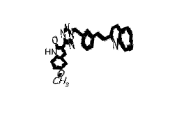 COc1ccc2[nH]c(=O)c(-c3nnn(Cc4cccc(C=Cc5ccc6ccccc6n5)c4)n3)cc2c1